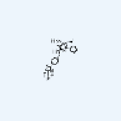 CC(C)c1ccccc1-c1nc2c(c(NCc3ccc(-c4nc(C(F)(F)F)cn4C)cc3)n1)CNC2